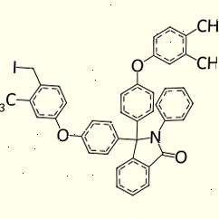 Cc1ccc(Oc2ccc(C3(c4ccc(Oc5ccc(CI)c(C)c5)cc4)c4ccccc4C(=O)N3c3ccccc3)cc2)cc1C